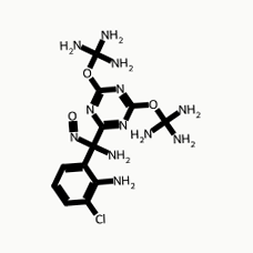 Nc1c(Cl)cccc1C(N)(N=O)c1nc(OC(N)(N)N)nc(OC(N)(N)N)n1